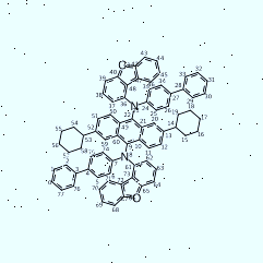 c1ccc(-c2ccc(N(c3c4ccc(C5CCCCC5)cc4c(N(c4ccc(-c5ccccc5)cc4)c4cccc5oc6ccccc6c45)c4ccc(C5CCCCC5)cc34)c3cccc4oc5ccccc5c34)cc2)cc1